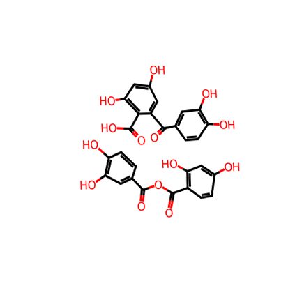 O=C(OC(=O)c1ccc(O)cc1O)c1ccc(O)c(O)c1.O=C(c1ccc(O)c(O)c1)c1cc(O)cc(O)c1C(=O)O